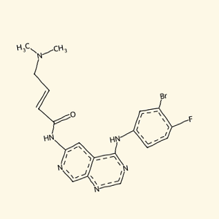 CN(C)C/C=C/C(=O)Nc1cc2c(Nc3ccc(F)c(Br)c3)ncnc2cn1